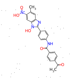 CC(=O)c1ccc(C(=O)Nc2ccc(-c3nc4cc(C)c([N+](=O)O)cc4n3O)cc2)cc1